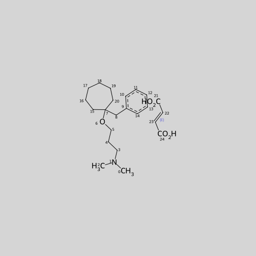 CN(C)CCCOC1(Cc2ccccc2)CCCCCC1.O=C(O)/C=C/C(=O)O